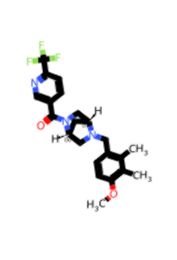 COc1ccc(CN2C[C@@H]3C[C@H]2CN3C(=O)c2ccc(C(F)(F)F)nc2)c(C)c1C